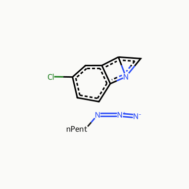 CCCCCN=[N+]=[N-].Clc1ccc2c(c1)c1cn2-1